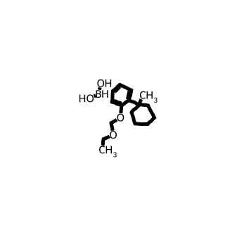 CCOCOc1ccccc1C1(C)CCCCC1.OBO